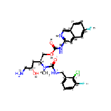 CN(C(=O)NCc1cccc(F)c1Cl)[C@H](COC(=O)Nc1cc2cc(F)ccc2cn1)C[C@H](O)CN